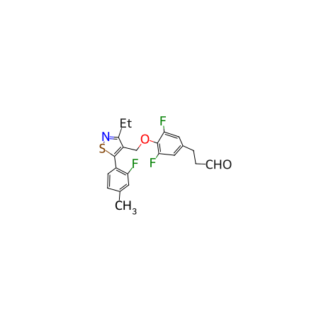 CCc1nsc(-c2ccc(C)cc2F)c1COc1c(F)cc(CCC=O)cc1F